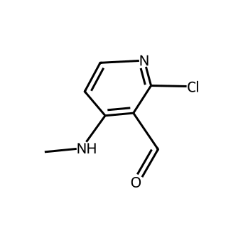 CNc1ccnc(Cl)c1C=O